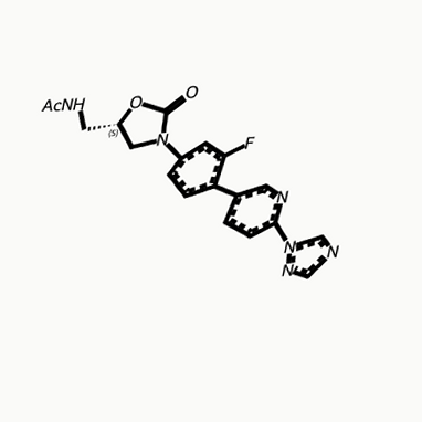 CC(=O)NC[C@H]1CN(c2ccc(-c3ccc(-n4cncn4)nc3)c(F)c2)C(=O)O1